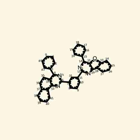 c1ccc(-c2nc(-c3cccc(-c4nc(-c5ccccc5)c5oc6ccccc6c5n4)c3)nc3c2ccc2ccccc23)cc1